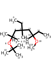 CCC(C)(CC(C)(C)OC(C)(C)C)CC(C)(CC)OC